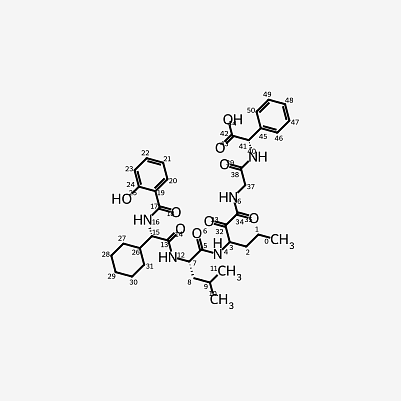 CCCC(NC(=O)[C@H](CC(C)C)NC(=O)[C@@H](NC(=O)c1ccccc1O)C1CCCCC1)C(=O)C(=O)NCC(=O)N[C@H](C(=O)O)c1ccccc1